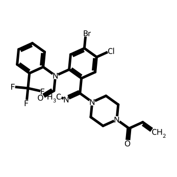 C=CC(=O)N1CCN(/C(=N/C)c2cc(Cl)c(Br)cc2N(C=O)c2ccccc2C(F)(F)F)CC1